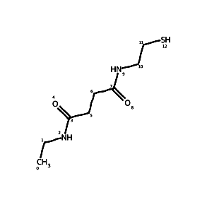 CCNC(=O)CCC(=O)NCCS